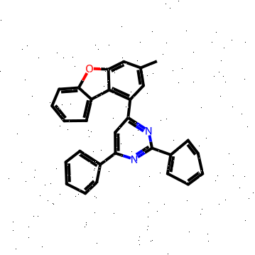 Cc1cc(-c2cc(-c3ccccc3)nc(-c3ccccc3)n2)c2c(c1)oc1ccccc12